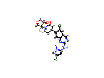 Cn1nc(Cl)cc1Nc1ncc2cc(Cl)c(C3CCN([C@@]4(C)COC[C@H]4O)CC3)cc2n1